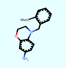 COc1ccccc1CN1CCOc2cc(N)ccc21